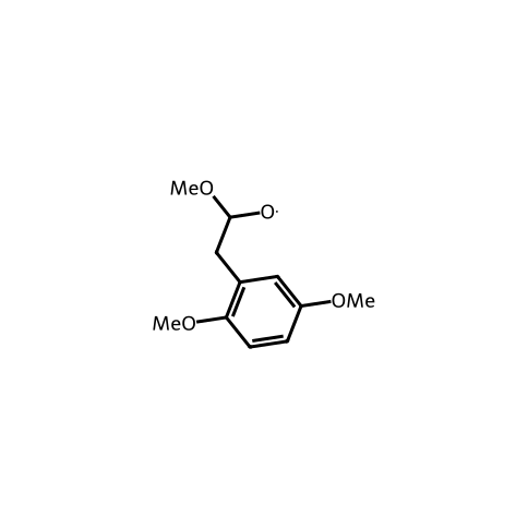 COc1ccc(OC)c(CC([O])OC)c1